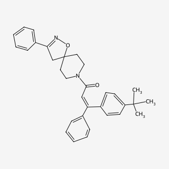 CC(C)(C)c1ccc(C(=CC(=O)N2CCC3(CC2)CC(c2ccccc2)=NO3)c2ccccc2)cc1